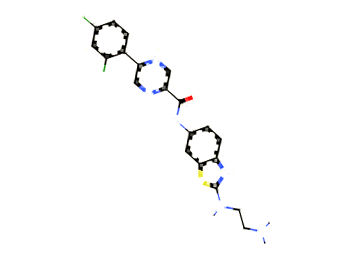 CN(C)CCN(C)c1nc2ccc(NC(=O)c3cnc(-c4ccc(Cl)cc4Cl)cn3)cc2s1